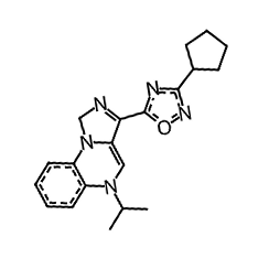 CC(C)N1C=C2C(c3nc(C4CCCC4)no3)=NCN2c2ccccc21